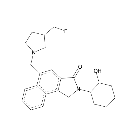 O=C1c2cc(CN3CCC(CF)C3)c3ccccc3c2CN1C1CCCCC1O